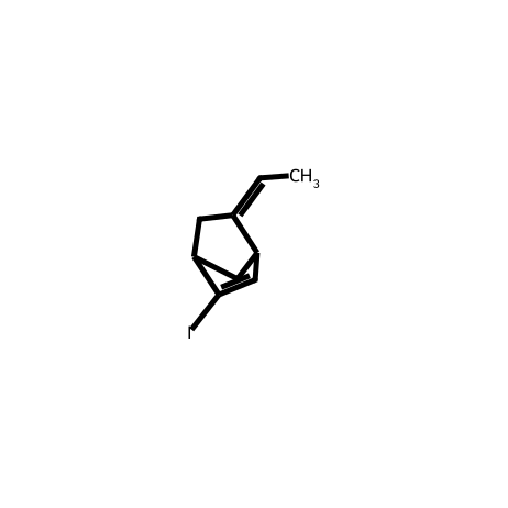 CC=C1CC2CC1C=C2I